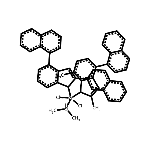 CC1=Cc2c(-c3cccc4ccccc34)ccc(C)c2[CH]1[Zr]([Cl])([Cl])([CH]1C(c2ccc3ccccc3c2)=Cc2c(-c3cccc4ccccc34)cccc21)[SiH](C)C